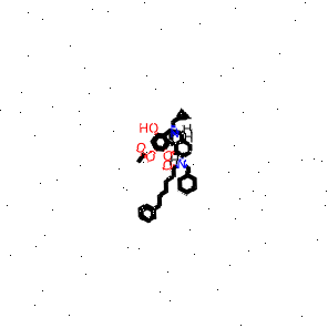 CC(=O)Oc1cc(O)c2c3c1O[C@H]1[C@H](N(CC4CCCCC4)C(=O)CCCCCc4ccccc4)CC[C@H]4[C@@H](C2)N(CC2CC2)CC[C@@]341